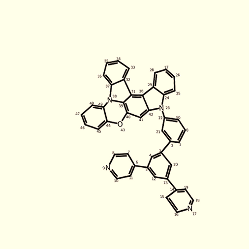 c1cc(-c2cc(-c3ccncc3)cc(-c3ccncc3)c2)cc(-n2c3ccccc3c3c4c5ccccc5n5c4c(cc32)Oc2ccccc2-5)c1